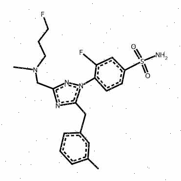 Cc1cccc(Cc2nc(CN(C)CCCF)nn2-c2ccc(S(N)(=O)=O)cc2F)c1